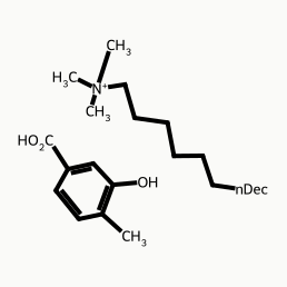 CCCCCCCCCCCCCCCC[N+](C)(C)C.Cc1ccc(C(=O)O)cc1O